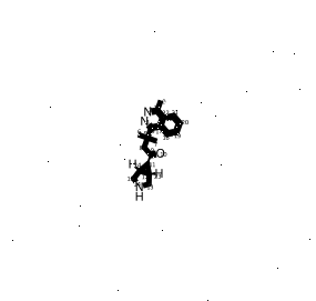 Cc1nnc(C(C)(C)CC(=O)[C@H]2[C@@H]3CNC[C@@H]32)c2ccccc12